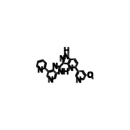 COc1cncc(-c2ccc3[nH]nc(-c4nc5c(-c6ccccn6)cncc5[nH]4)c3n2)c1